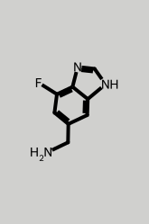 NCc1cc(F)c2nc[nH]c2c1